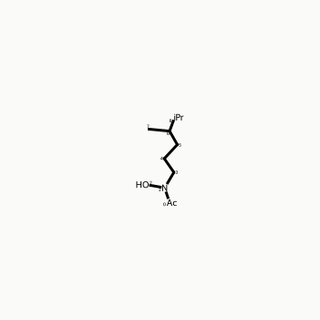 CC(=O)N(O)CCCC(C)C(C)C